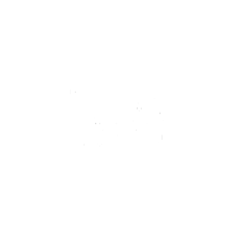 CCCCCC(=CC(=O)OC)B1OC(C)(C)C(C)(C)O1